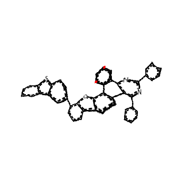 c1ccc(-c2nc(-c3ccccc3)c(-c3ccc4c(oc5c(-c6ccc7sc8ccccc8c7c6)cccc54)c3-c3ccccc3)c(-c3ccccc3)n2)cc1